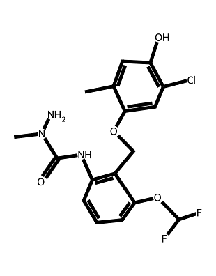 Cc1cc(O)c(Cl)cc1OCc1c(NC(=O)N(C)N)cccc1OC(F)F